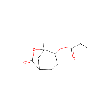 CCC(=O)OC1CCC2CC1(C)OC2=O